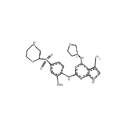 COc1cc(S(=O)(=O)C2CNCCO2)ccc1Nc1nc(N[C@H]2CCOC2)c2c(C(F)(F)F)c[nH]c2n1